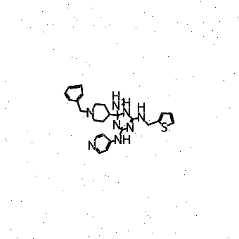 NC1(C2CCN(Cc3ccccc3)CC2)N=C(Nc2ccncc2)N=C(NCc2cccs2)N1